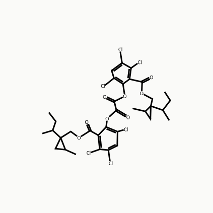 CCC(C)C1(COC(=O)c2c(Cl)c(Cl)cc(Cl)c2OC(=O)C(=O)Oc2c(Cl)cc(Cl)c(Cl)c2C(=O)OCC2(C(C)CC)CC2C)CC1C